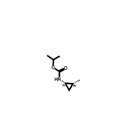 CC(C)OC(=O)N[C@H]1C[C@H]1C